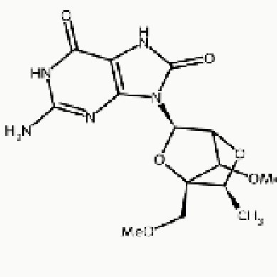 COC[C@]12O[C@@H](n3c(=O)[nH]c4c(=O)[nH]c(N)nc43)C(O[C@H]1C)C2OC